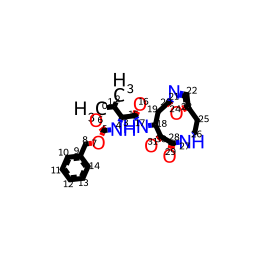 CC(C)C(NC(=O)OCc1ccccc1)C(=O)NC1Cc2ncc(o2)CCNC(=O)C1=O